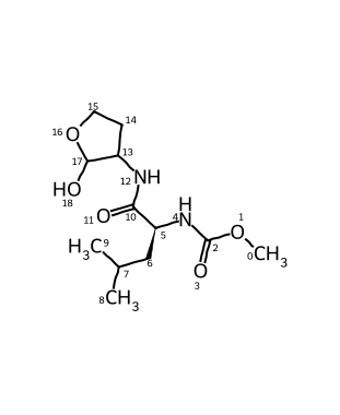 COC(=O)N[C@@H](CC(C)C)C(=O)NC1CCOC1O